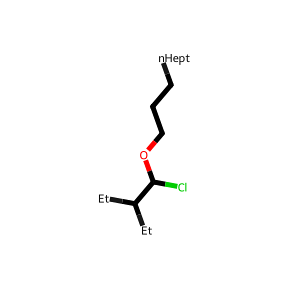 CCCCCCCCCCOC(Cl)C(CC)CC